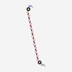 Cc1ccc(OCCOCCOCCOCCOCCOCCOCCOCCOCCOCCOCCOCCOc2ccc(N)cc2)cc1